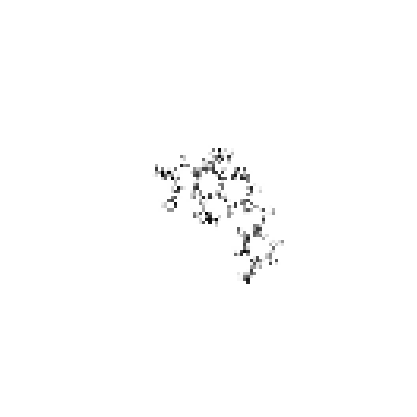 O=C1NCc2c1c(O)c1cc(Cc3ccc(F)cc3)cnc1c2O